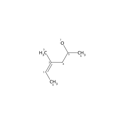 CC=C(C)CC(C)[O]